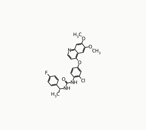 COc1cc2nccc(Oc3ccc(NC(=O)N[C@@H](C)c4ccc(F)cc4)c(Cl)c3)c2cc1OC